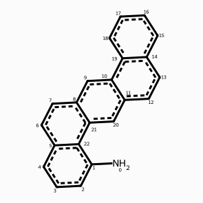 Nc1cccc2ccc3cc4c(ccc5ccccc54)cc3c12